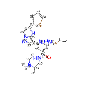 CCSNc1cc(C(=O)NCC(C)N(CC)CC)cc(-c2cnn3ccc(-c4cccs4)nc23)n1